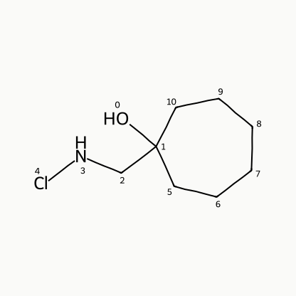 OC1(CNCl)CCCCCC1